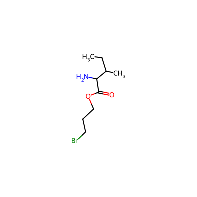 CCC(C)C(N)C(=O)OCCCBr